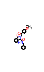 COc1ccc(C(=O)CN2C(=O)c3ccccc3C2C(=O)NCc2ccccc2)cc1